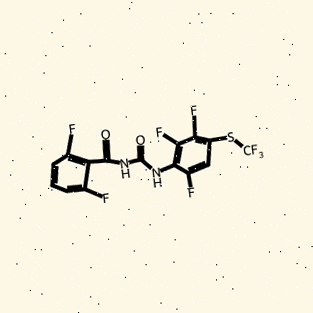 O=C(NC(=O)c1c(F)cccc1F)Nc1c(F)cc(SC(F)(F)F)c(F)c1F